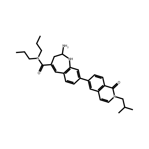 CCCN(CCC)C(=O)C1=Cc2ccc(-c3ccc4c(=O)n(CC(C)C)ccc4c3)cc2NC(N)C1